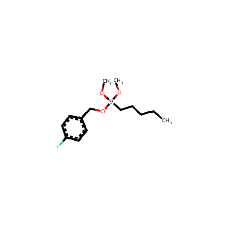 CCCCC[Si](OC)(OC)OCc1ccc(F)cc1